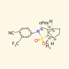 CCC[C@@H]1[C@H]2[C@H]3CC[C@H](C3)[C@@]2(C)S(=O)(=O)N1c1ccc(C#N)c(C(F)(F)F)c1